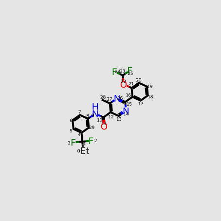 CCC(F)(F)c1cccc(NC(=O)c2cnc(-c3ccccc3OC(F)F)nc2C)c1